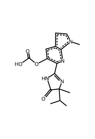 CC(C)C1(C)N=C(c2nc3c(ccn3C)cc2OC(=O)O)NC1=O